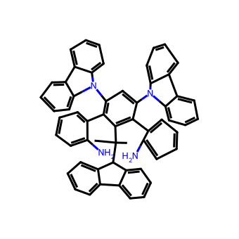 CC(C)(c1c(-c2ccccc2N)c(-n2c3ccccc3c3ccccc32)cc(-n2c3ccccc3c3ccccc32)c1-c1ccccc1N)C1c2ccccc2-c2ccccc21